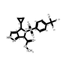 COC(=O)C1c2n[nH]cc2C(C2CC2)N1S(=O)(=O)c1ccc(C(F)(F)F)cc1